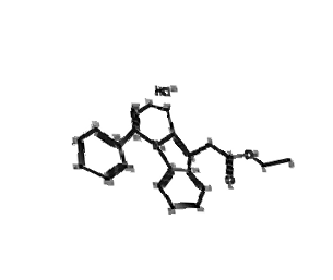 CCOC(=O)Cc1c2n(c3ccccc13)C(c1ccccc1)=NCC2.Cl